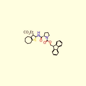 CCOC(=O)C1C2=C(CCCCC2)SC1NC(=O)[C@H]1CCCN1C(=O)OCC1c2ccccc2-c2ccccc21